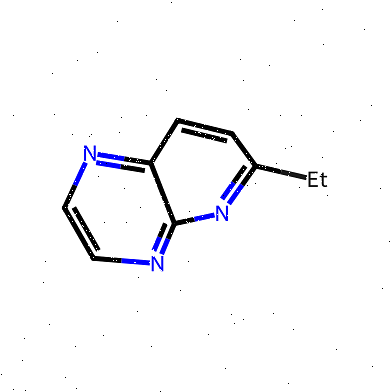 CCc1ccc2nccnc2n1